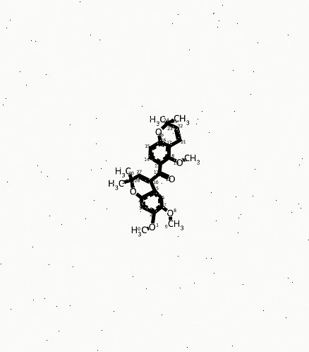 COc1cc2c(cc1OC)C(C(=O)c1ccc3c(c1OC)C=CC(C)(C)O3)=CC(C)(C)O2